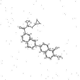 CN(CC1CC1)C(=O)c1ccc2ncc(-c3ccc4c(=O)n(C)ccc4c3)nc2c1